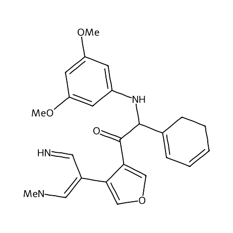 CN/C=C(\C=N)c1cocc1C(=O)C(Nc1cc(OC)cc(OC)c1)C1=CC=CCC1